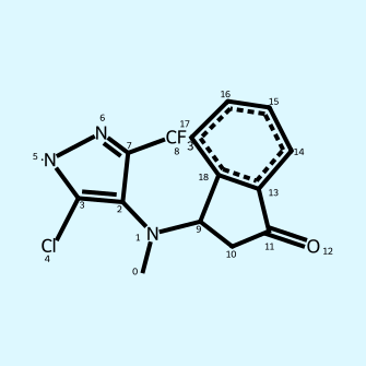 CN(C1=C(Cl)[N]N=C1C(F)(F)F)C1CC(=O)c2ccccc21